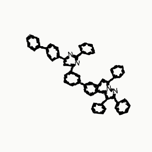 c1ccc(-c2ccc(-c3cc(-c4cccc(-c5ccc6c(c5)cc(-c5ccccc5)n5nc(-c7ccccc7)c(-c7ccccc7)c65)c4)nc(-c4ccccc4)n3)cc2)cc1